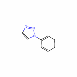 C1=CC(n2ccnn2)=CCC1